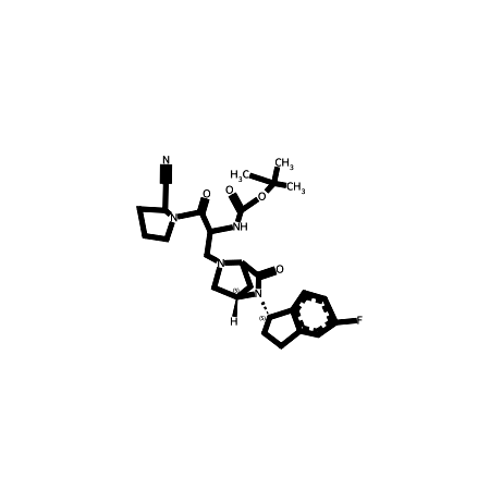 CC(C)(C)OC(=O)NC(CN1C[C@@H]2CC1C(=O)N2[C@H]1CCc2cc(F)ccc21)C(=O)N1CCCC1C#N